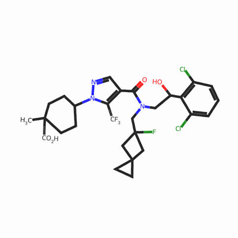 CC1(C(=O)O)CCC(n2ncc(C(=O)N(CC(O)c3c(Cl)cccc3Cl)CC3(F)CC4(CC4)C3)c2C(F)(F)F)CC1